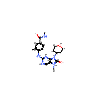 CNC(=O)c1ccc(Nc2ncc3c(n2)n(C2CCOCC2)c(=O)n3C)c(C)c1